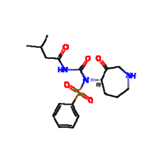 CC(C)CC(=O)NC(=O)N([C@H]1CCCNCC1=O)S(=O)(=O)c1ccccc1